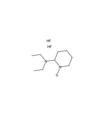 CCN(CC)C1CCCCN1[S].F.F